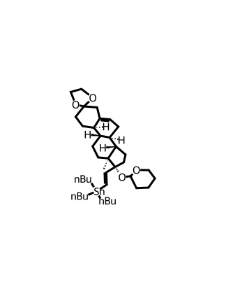 CCC[CH2][Sn](/[CH]=C/[C@]1(OC2CCCCO2)CC[C@H]2[C@@H]3CC=C4CC5(CC[C@@H]4[C@H]3CC[C@@]21C)OCCO5)([CH2]CCC)[CH2]CCC